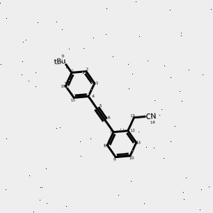 CC(C)(C)c1ccc(C#Cc2ccccc2CC#N)cc1